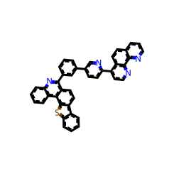 c1cc(-c2ccc(-c3ccnc4c3ccc3cccnc34)nc2)cc(-c2nc3ccccc3c3c2ccc2c4ccccc4sc23)c1